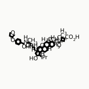 CC(C)C1=C2[C@H]3CC[C@@H]4[C@@]5(C)CC[C@H](OC(=O)[C@H]6C[C@@H](C(=O)O)C6(C)C)C(C)(C)[C@@H]5CC[C@@]4(C)[C@]3(C)CC[C@@]2(CCNCC(C)(C)NC(=O)c2ccc(O[C@@H]3CCOC3)cc2)CC1O